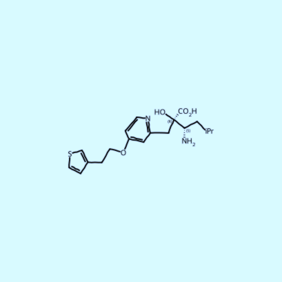 CC(C)C[C@H](N)[C@](O)(Cc1cc(OCCc2ccsc2)ccn1)C(=O)O